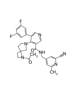 CC(=O)N1CCC12CCN(c1c(C(=O)NCc3cc(C)nc(C#N)c3)cncc1-c1cc(F)cc(F)c1)C2